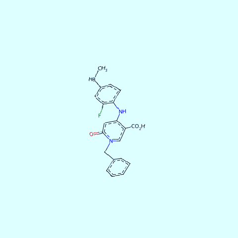 CBc1ccc(Nc2cc(=O)n(Cc3ccccc3)cc2C(=O)O)c(F)c1